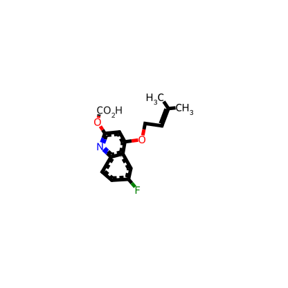 CC(C)=CCOc1cc(OC(=O)O)nc2ccc(F)cc12